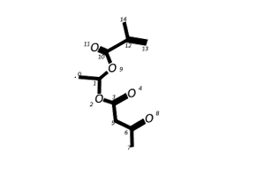 [CH2]C(OC(=O)CC(C)=O)OC(=O)C(=C)C